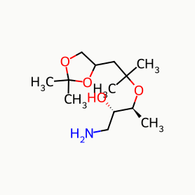 C[C@H](OC(C)(C)CC1COC(C)(C)O1)[C@@H](O)CN